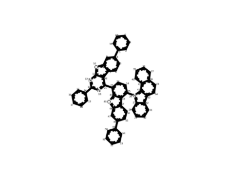 c1ccc(-c2ccc3c(c2)oc2nc(-c4ccccc4)nc(-c4ccc(-n5c6ccccc6c6ccc7ccccc7c65)c5c4oc4cc(-c6ccccc6)ccc45)c23)cc1